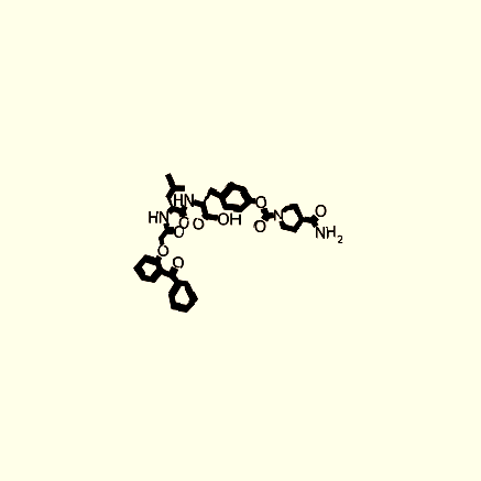 CC(C)C[C@H](NC(=O)COc1ccccc1C(=O)c1ccccc1)C(=O)N[C@@H](Cc1ccc(OC(=O)N2CCC(C(N)=O)CC2)cc1)C(=O)O